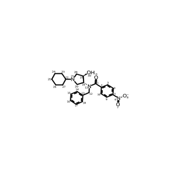 O=C(c1ccc([N+](=O)[O-])cc1)N(Cc1ccccc1)[C@@H]1CN(C2CCCCC2)C[C@H]1O